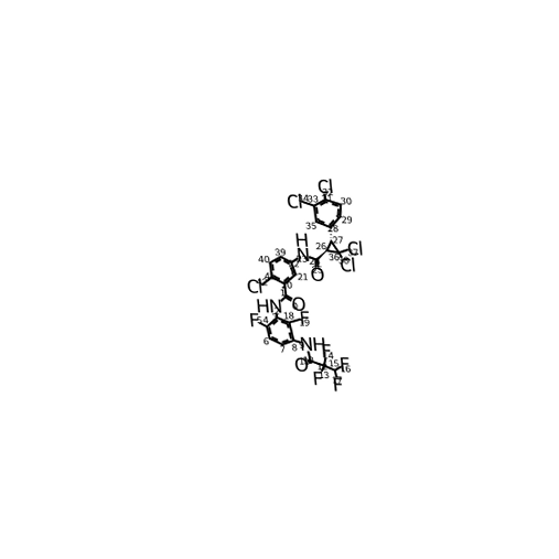 O=C(Nc1c(F)ccc(NC(=O)C(F)(F)C(F)F)c1F)c1cc(NC(=O)[C@H]2[C@H](c3ccc(Cl)c(Cl)c3)C2(Cl)Cl)ccc1Cl